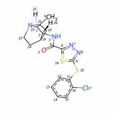 C[C@H]1[C@H](NC(=O)c2nnc(Sc3ccccc3Cl)s2)C2CCN1CC2